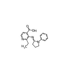 CCc1nccc(C(=O)O)c1N=C1CCCN1c1ccccc1